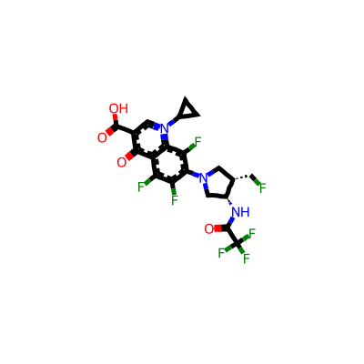 O=C(O)c1cn(C2CC2)c2c(F)c(N3C[C@H](CF)[C@H](NC(=O)C(F)(F)F)C3)c(F)c(F)c2c1=O